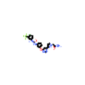 NC(=O)Cn1ccc(-c2cc(Oc3cccc(NC(=O)Nc4ccc(Cl)c(C(F)(F)F)c4)c3)ncn2)n1